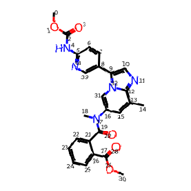 COC(=O)Nc1ccc(-c2cnc3c(C)cc(N(C)C(=O)c4ccccc4C(=O)OC)cn23)cn1